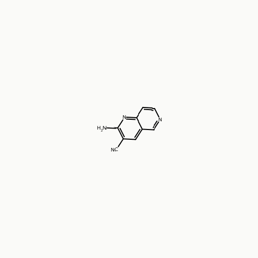 N#Cc1cc2cnccc2nc1N